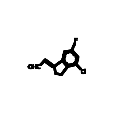 O=[C]/C=C1\CCc2c(Cl)cc(F)cc21